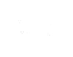 COC1C=CC(C(N)=O)=CC1OC